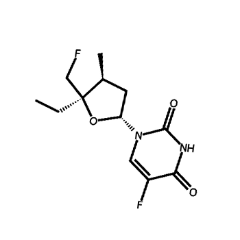 CC[C@@]1(CF)O[C@@H](n2cc(F)c(=O)[nH]c2=O)C[C@@H]1C